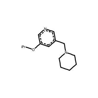 CC(C)Oc1cncc(CN2CCCCC2)c1